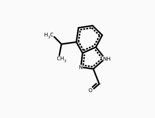 CC(C)c1cccc2[nH]c([C]=O)nc12